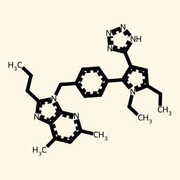 CCCc1nc2c(C)cc(C)nc2n1Cc1ccc(-c2c(-c3nnn[nH]3)cc(CC)n2CC)cc1